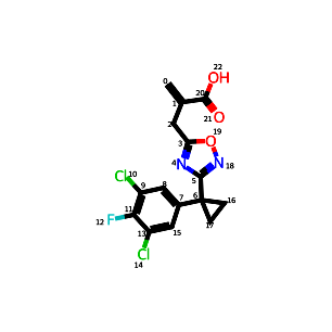 C=C(Cc1nc(C2(c3cc(Cl)c(F)c(Cl)c3)CC2)no1)C(=O)O